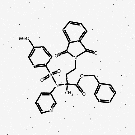 COc1ccc(S(=O)(=O)N(c2cccnc2)C(C)(CCN2C(=O)c3ccccc3C2=O)C(=O)OCc2ccccc2)cc1